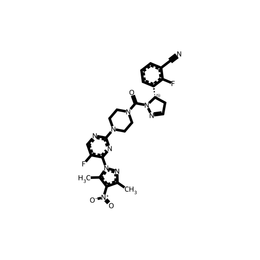 Cc1nn(-c2nc(N3CCN(C(=O)N4N=CC[C@H]4c4cccc(C#N)c4F)CC3)ncc2F)c(C)c1[N+](=O)[O-]